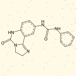 O=C(Nc1ccccc1)Nc1ccc2c(c1)C1=NCCN1C(=O)N2